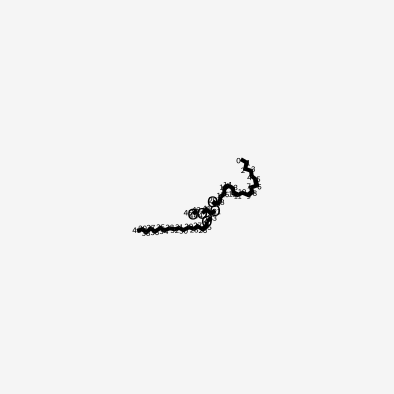 CCCCC/C=C\C/C=C\C/C=C\C/C=C\CCCC(=O)O[C@H](CO/C=C\CCCCCCCCCCCCCC)COCOC